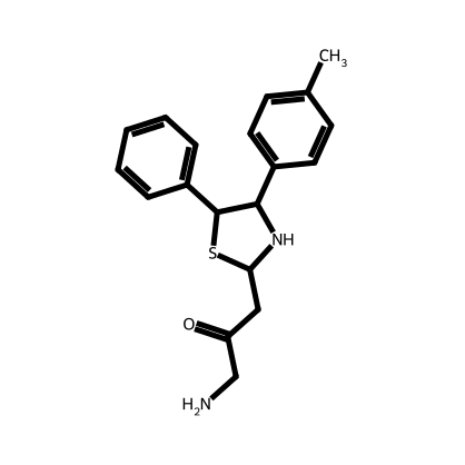 Cc1ccc(C2NC(CC(=O)CN)SC2c2ccccc2)cc1